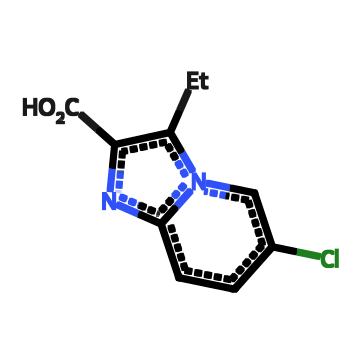 CCc1c(C(=O)O)nc2ccc(Cl)cn12